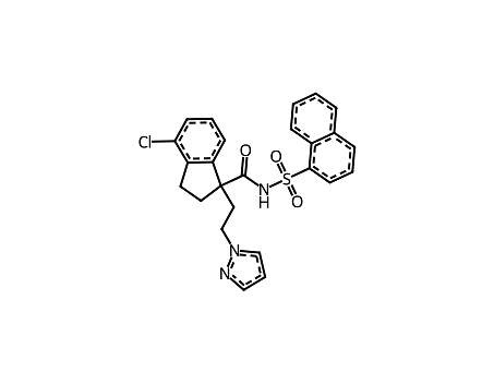 O=C(NS(=O)(=O)c1cccc2ccccc12)C1(CCn2cccn2)CCc2c(Cl)cccc21